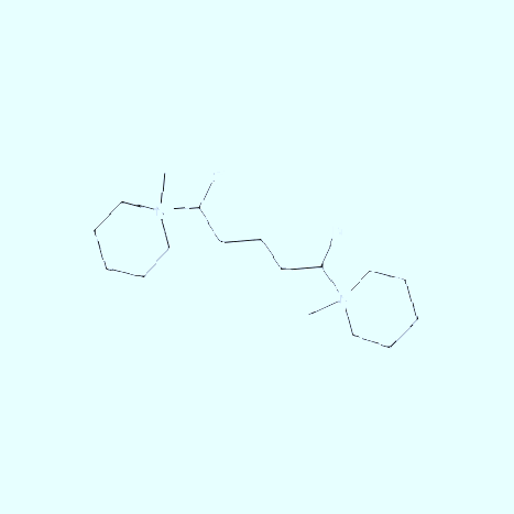 C[N+]1(C(Br)CCCC(Br)[N+]2(C)CCCCC2)CCCCC1